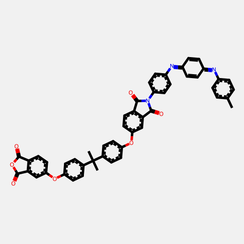 Cc1ccc(N=C2C=CC(=Nc3ccc(N4C(=O)c5ccc(Oc6ccc(C(C)(C)c7ccc(Oc8ccc9c(c8)C(=O)OC9=O)cc7)cc6)cc5C4=O)cc3)C=C2)cc1